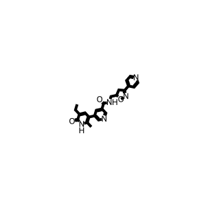 CCc1cc(-c2cncc(C(=O)NCC3CC(c4ccncc4)=NO3)c2)c(C)[nH]c1=O